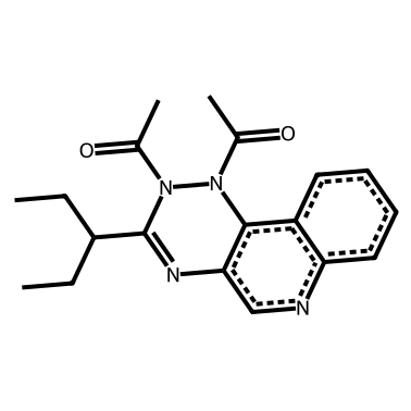 CCC(CC)C1=Nc2cnc3ccccc3c2N(C(C)=O)N1C(C)=O